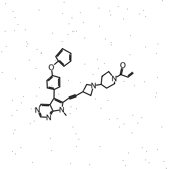 C=CC(=O)N1CCC(N2CC(C#Cc3c(-c4ccc(Oc5ccccc5)cc4)c4cncnc4n3C)C2)CC1